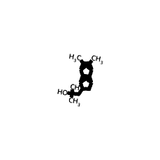 CC1C(C)C2CC1C1C3CC(CC(C)(C)O)C(C3)C21